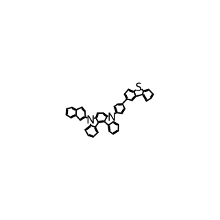 c1ccc2cc(-n3c4ccccc4c4c5c6ccccc6n(-c6ccc(-c7ccc8sc9ccccc9c8c7)cc6)c5ccc43)ccc2c1